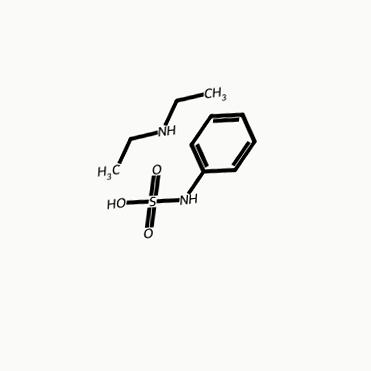 CCNCC.O=S(=O)(O)Nc1ccccc1